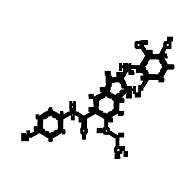 O=C(Nc1ccc(Br)cc1)c1cc2nc(Nc3c(F)ccc(Cl)c3Cl)[nH]c2cc1OCC(F)(F)F